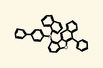 c1ccc(-c2ccc(N(c3cccc4ccccc34)c3cccc4oc5c(-c6ccccc6)c6ccccc6cc5c34)cc2)cc1